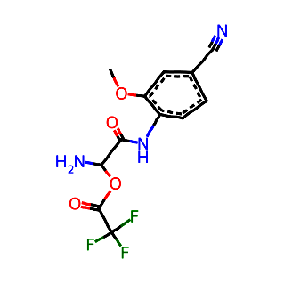 COc1cc(C#N)ccc1NC(=O)C(N)OC(=O)C(F)(F)F